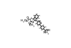 COC(=O)C(Cc1cn(-c2ccc(-c3ccc(C(=N)N)cc3)nn2)c2ccccc12)C(=O)OC